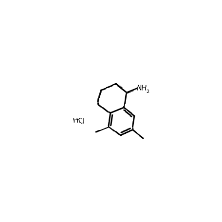 Cc1cc(C)c2c(c1)C(N)CCC2.Cl